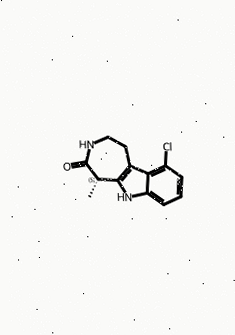 C[C@@H]1C(=O)NCCc2c1[nH]c1cccc(Cl)c21